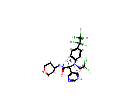 C[C@@](C(=O)NC1CCOCC1)(c1cncnc1)N(C(=O)[C@H](F)Cl)c1ccc(C(F)(F)C(F)(F)F)cc1